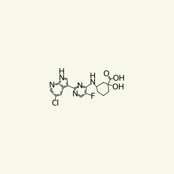 O=C(O)C1(O)CCCC(Nc2nc(-c3c[nH]c4ncc(Cl)cc34)ncc2F)C1